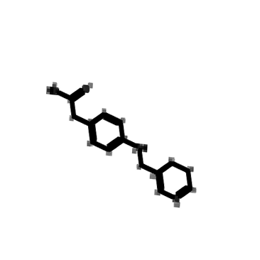 O=C(O)Cc1ccc(NCC2=CN=CCC2)cc1